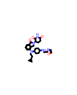 O=C1CCC(N2Cc3c(cccc3N(CCC3CC3)C3CCC(NCc4ncco4)CC3)C2=O)C(=O)N1